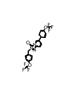 O=c1n(Cc2ccc(OC(F)(F)F)cc2)nc2ccc(C3C=CC(OC(F)(F)F)=CC3)cn12